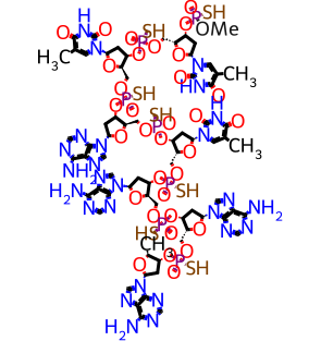 COP(=O)(S)O[C@@H]1C[C@H](n2cc(C)c(=O)[nH]c2=O)O[C@@H]1COP(=O)(S)O[C@@H]1C[C@H](n2cc(C)c(=O)[nH]c2=O)O[C@@H]1COP(=O)(S)O[C@@H]1C[C@H](n2cnc3c(N)ncnc32)O[C@@H]1COP(=O)(S)O[C@@H]1C[C@H](n2cc(C)c(=O)[nH]c2=O)O[C@@H]1COP(=O)(S)O[C@@H]1C[C@H](n2cnc3c(N)ncnc32)O[C@@H]1COP(=O)(S)O[C@@H]1C[C@H](n2cnc3c(N)ncnc32)O[C@@H]1COP(=O)(S)O[C@@H]1C[C@H](n2cnc3c(N)ncnc32)O[C@@H]1C